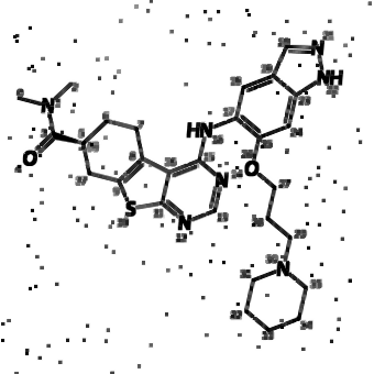 CN(C)C(=O)[C@H]1CCc2c(sc3ncnc(Nc4cc5cn[nH]c5cc4OCCCN4CCCCC4)c23)C1